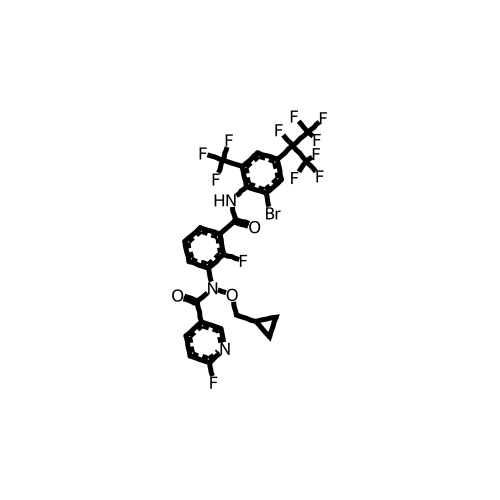 O=C(Nc1c(Br)cc(C(F)(C(F)(F)F)C(F)(F)F)cc1C(F)(F)F)c1cccc(N(OCC2CC2)C(=O)c2ccc(F)nc2)c1F